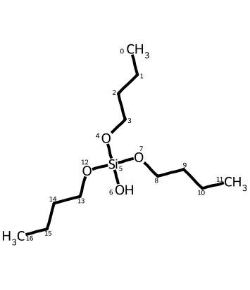 CCCCO[Si](O)(OCCCC)OCCCC